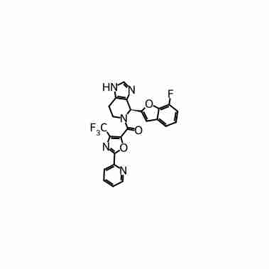 O=C(c1oc(-c2ccccn2)nc1C(F)(F)F)N1CCc2[nH]cnc2[C@H]1c1cc2cccc(F)c2o1